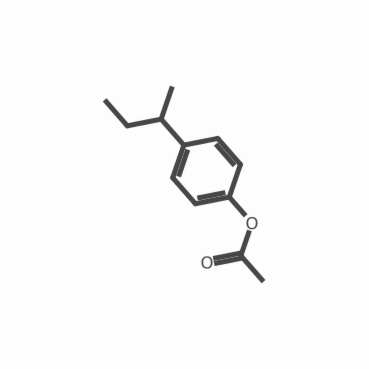 CCC(C)c1ccc(OC(C)=O)cc1